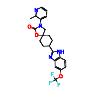 Cc1ncccc1N1CC2(CCC(c3nc4cc(OC(F)(F)F)ccc4[nH]3)CC2)OC1=O